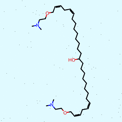 CN(C)CCOC/C=C\C/C=C\CCCCCCCCC(O)CCCCCCCC/C=C\C/C=C\COCCN(C)C